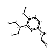 CCc1ccc(NC=O)cc1N(CC)CC